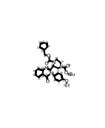 CCOc1ccc(-n2c(C3CN(C(=O)OC(C)(C)C)CCN3C(=O)OCc3ccccc3)nc3ccccc3c2=O)cc1